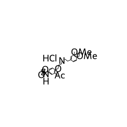 COc1ccc(CCN(C)CCOc2ccc(NS(C)(=O)=O)cc2C(C)=O)cc1OC.Cl